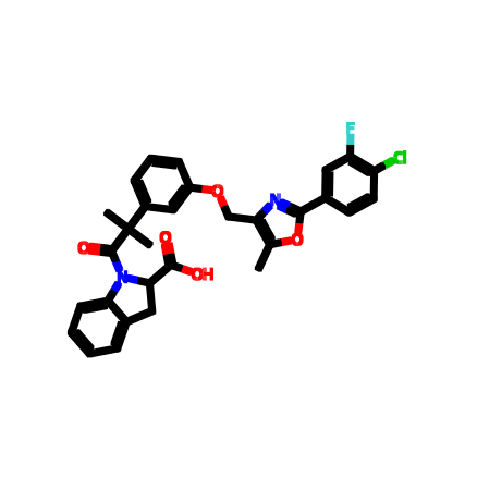 Cc1oc(-c2ccc(Cl)c(F)c2)nc1COc1cccc(C(C)(C)C(=O)N2c3ccccc3CC2C(=O)O)c1